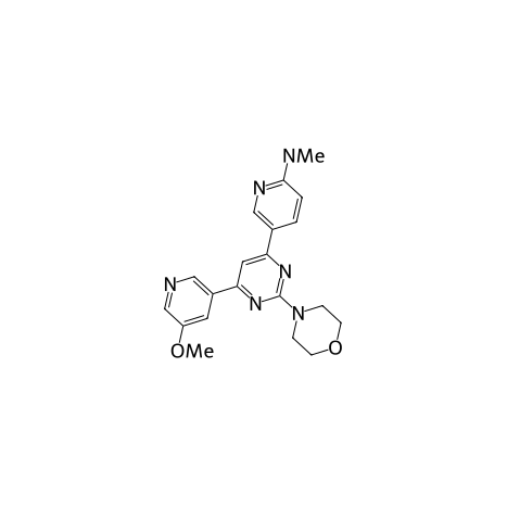 CNc1ccc(-c2cc(-c3cncc(OC)c3)nc(N3CCOCC3)n2)cn1